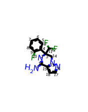 NC1=NC(c2ccc[c]c2F)(C(F)F)Cn2nccc21